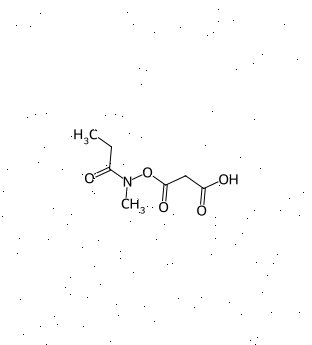 CCC(=O)N(C)OC(=O)CC(=O)O